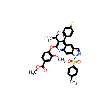 COC(=O)c1ccc(Oc2nc3cc4c(cnn4S(=O)(=O)c4ccc(C)cc4)cc3c(-c3ccc(F)cc3)c2C(C)C)c(OC)c1